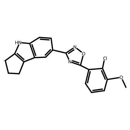 COc1cccc(-c2nc(-c3ccc4[nH]c5c(c4c3)CC[CH]5)no2)c1Cl